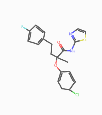 CC(CCc1ccc(F)cc1)(OC1=CCC(Cl)C=C1)C(=O)Nc1nccs1